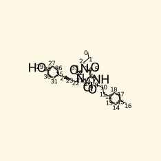 CCCn1c(=O)c(NC(=O)CCc2ccc(C)cc2)c(Cl)n(CC#Cc2ccc(O)cc2)c1=O